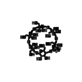 O.OCC1OC2OC3C(CO)OC(OC4C(CO)OC(OC5C(CO)OC(OC6C(CO)OC(OC7C(CO)OC(OC1C(O)C2O)C(O)C7O)C(O)C6O)C(O)C5O)C(O)C4O)C(O)C3O